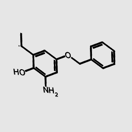 C[CH]c1cc(OCc2ccccc2)cc(N)c1O